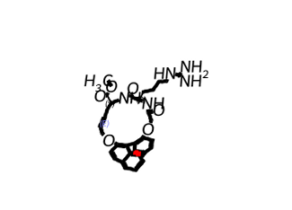 COC(=O)[C@@H]1C/C=C/COc2ccc3ccccc3c2-c2c(ccc3ccccc23)OCC(=O)N[C@H](CCCCNC(=N)N)C(=O)N1